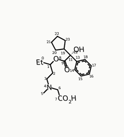 CCC(CCN(C)CC(=O)O)OC(=O)[C@](O)(c1ccccc1)C1CCCC1